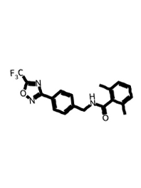 Cc1cccc(C)c1C(=O)NCc1ccc(-c2noc(C(F)(F)F)n2)cc1